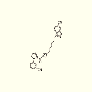 N#Cc1cccc(C2CC=NN2C(=O)C23CC(CCCCCCn4ncc5cc(C#N)ccc54)(C2)C3)c1